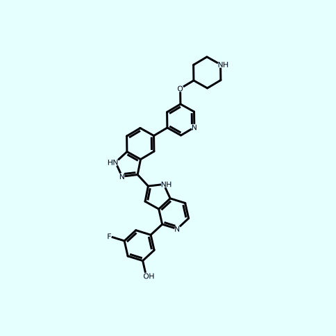 Oc1cc(F)cc(-c2nccc3[nH]c(-c4n[nH]c5ccc(-c6cncc(OC7CCNCC7)c6)cc45)cc23)c1